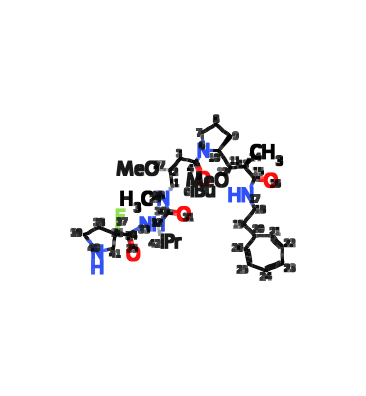 CC[C@H](C)[C@@H]([C@@H](CC(=O)N1CCC[C@H]1[C@H](OC)[C@@H](C)C(=O)NCCC1C=CC=CC=C1)OC)N(C)C(=O)[C@@H](NC(=O)[C@@]1(F)CCNC1)C(C)C